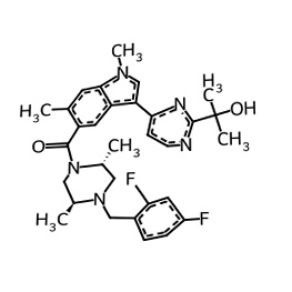 Cc1cc2c(cc1C(=O)N1C[C@H](C)N(Cc3ccc(F)cc3F)C[C@H]1C)c(-c1ccnc(C(C)(C)O)n1)cn2C